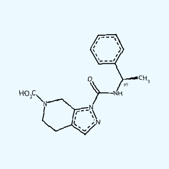 C[C@@H](NC(=O)n1ncc2c1CN(C(=O)O)CC2)c1ccccc1